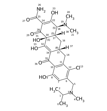 CC(C)N(C)Cc1cc(O)c2c(c1Cl)C[C@H]1C[C@H]3[C@H](N(C)C)C(O)=C(C(N)=O)C(=O)[C@@]3(O)C(O)=C1C2=O